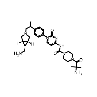 CC(CN1C[C@@H]2[C@@H](CN)[C@@H]2C1)c1ccc(-n2ccc(NC(=O)N3CCN(C(=O)C(C)(C)N)CC3)nc2=O)cc1